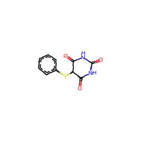 O=C1NC(=O)C(Sc2ccccc2)C(=O)N1